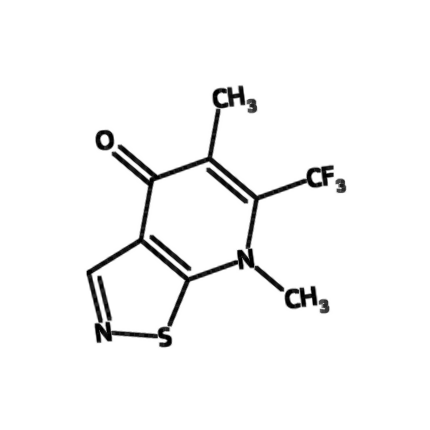 Cc1c(C(F)(F)F)n(C)c2sncc2c1=O